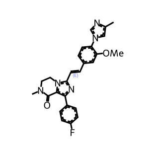 COc1cc(/C=C/c2nc(-c3ccc(F)cc3)c3n2CCN(C)C3=O)ccc1-n1cnc(C)c1